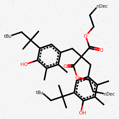 CCCCCCCCCCCCOC(=O)C(Cc1cc(C(C)(C)CC(C)(C)C)c(O)c(C)c1C)(Cc1cc(C(C)(C)CC(C)(C)C)c(O)c(C)c1C)C(=O)OCCCCCCCCCCCC